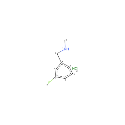 CNCc1cccc(F)c1.Cl